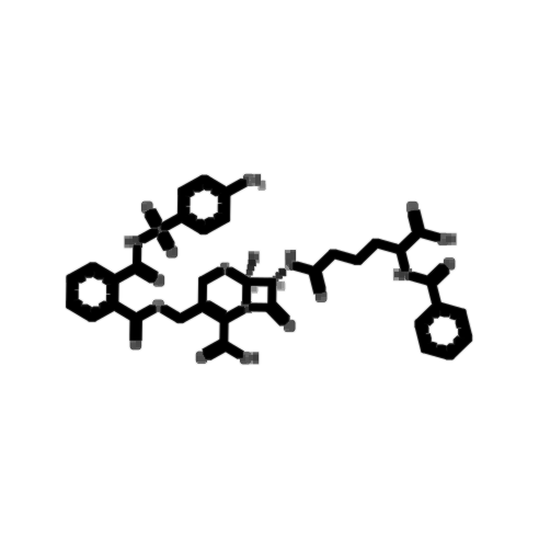 Cc1ccc(S(=O)(=O)NC(=O)c2ccccc2C(=O)OCC2=C(C(=O)O)N3C(=O)[C@@H](NC(=O)CCCC(NC(=O)c4ccccc4)C(=O)O)[C@@H]3SC2)cc1